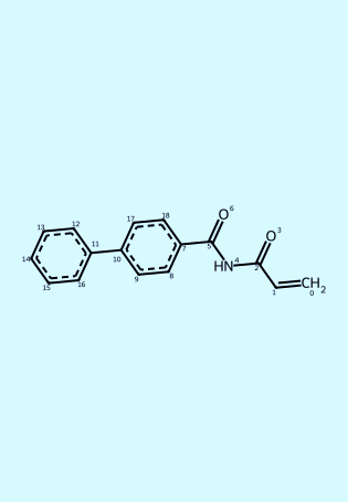 C=CC(=O)NC(=O)c1ccc(-c2ccccc2)cc1